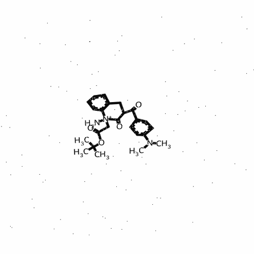 CN(C)c1ccc(C(=O)C2Cc3ccccc3[N+](N)(CC(=O)OC(C)(C)C)C2=O)cc1